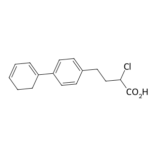 O=C(O)C(Cl)CCc1ccc(C2=CC=CCC2)cc1